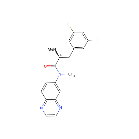 CN[C@@H](Cc1cc(F)cc(F)c1)C(=O)N(C)c1ccc2nccnc2c1